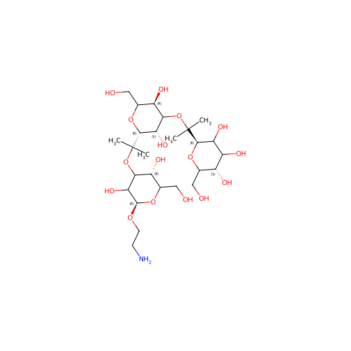 CC(C)(OC1[C@H](O)C(CO)O[C@@H](C(C)(C)OC2C(O)[C@H](OCCN)OC(CO)[C@H]2O)[C@H]1O)[C@@H]1OC(CO)[C@@H](O)C(O)C1O